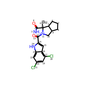 CCC(C)C1(C(N)=O)C2CCCC2CN1C(=O)c1cc2c(Cl)cc(Cl)cc2[nH]1